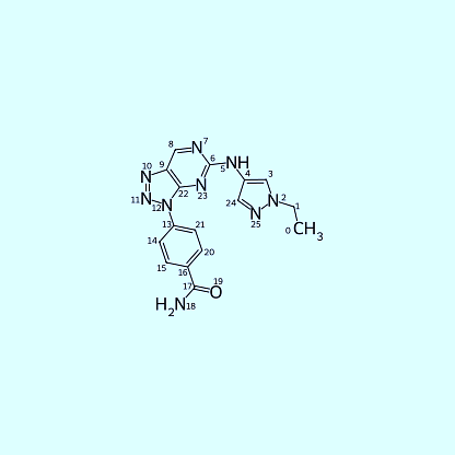 CCn1cc(Nc2ncc3nnn(-c4ccc(C(N)=O)cc4)c3n2)cn1